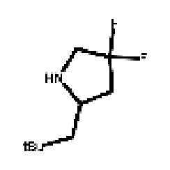 CC(C)(C)CC1CC(F)(F)CN1